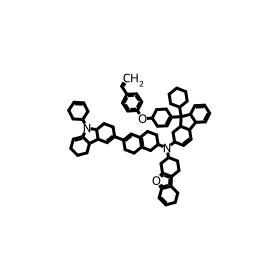 C=Cc1ccc(OC2CC=C(C3(C4CCCCC4)C4C=CC=CC4C4C=CC(N(C5CCC6=C(CCC(C7=CC8C9CCCC=C9N(C9CC=CCC9)C8CC7)=C6)C5)C5CCc6c(oc7c6CCC=C7)C5)CC43)CC2)cc1